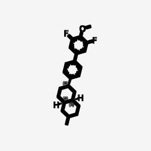 COc1c(F)cc(-c2ccc([C@@H]3CC[C@@H]4CC(C)CC[C@@H]4C3)cc2)cc1F